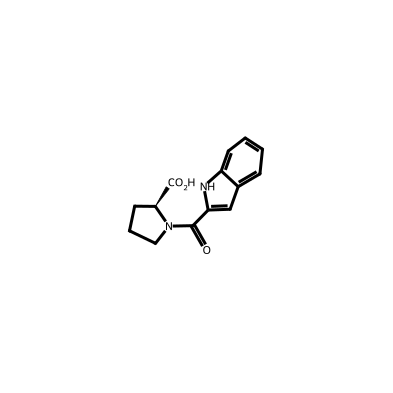 O=C(O)[C@@H]1CCCN1C(=O)c1cc2ccccc2[nH]1